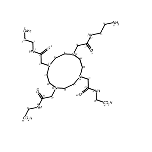 COOCNC(=O)CN1CCN(CC(=O)NCCN)CCN(CC(=O)NCC(=O)O)CCN(CC(=O)NCC(=O)O)CC1